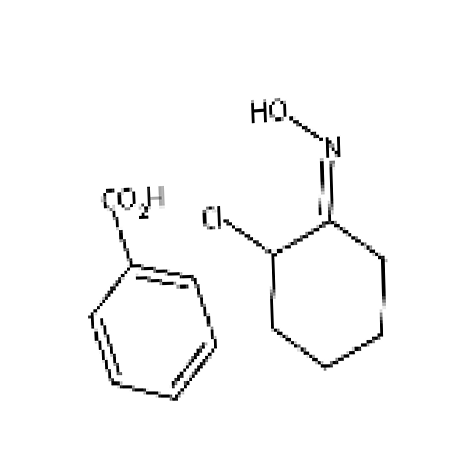 O/N=C1/CCCCC1Cl.O=C(O)c1ccccc1